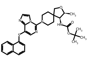 C[C@@H]1OCC2(CCN(c3ncc(Sc4cccc5ccccc45)c4nccn34)CC2)[C@@H]1NC(=O)OC(C)(C)C